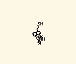 CC1(NS(=O)(=O)c2ccc(CCSS)c3ccccc23)COC1